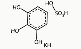 O=S(=O)(O)O.Oc1cccc(O)c1O.[KH]